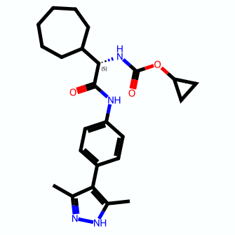 Cc1n[nH]c(C)c1-c1ccc(NC(=O)[C@@H](NC(=O)OC2CC2)C2CCCCCC2)cc1